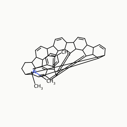 Cc1ccc(C2N(C)C(C)C34C5=C6C7=C8C9C%10C=CC%11C%12C=CC%13C%14C=CC%15C%16C(=C6C6=C(C%13C%12C(=C76)C%119)C%14%16)C23C%15CCC4C2C=CC%10C8C52)cc1